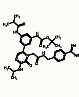 CC(C)Nc1ncc(-c2cc(NC(=O)OC(C)(C)C)cc(NC(=O)C(C)C)c2)n(CC(=O)NCc2ccc(C(=N)N)cc2)c1=O